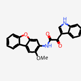 COc1cc2c(cc1NC(=O)C(=O)c1c[nH]c3ccccc13)oc1ccccc12